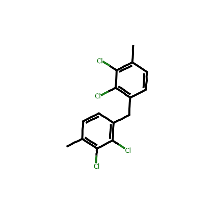 Cc1ccc(Cc2ccc(C)c(Cl)c2Cl)c(Cl)c1Cl